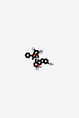 CC1=[C]([Zr](=[CH]c2ccc(Cl)cc2)(=[CH]c2ccc(Cl)cc2)[c]2cc(C(C)(C)C)cc3c2Cc2ccc(C(C)(C)C)cc2-3)C(C)C=C1c1ccccc1.Cl.Cl